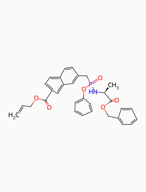 C=CCOC(=O)c1ccc2ccc(CP(=O)(N[C@@H](C)C(=O)OCc3ccccc3)Oc3ccccc3)cc2c1